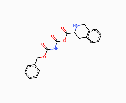 O=C(NC(=O)OC(=O)[C@@H]1Cc2ccccc2CN1)OCc1ccccc1